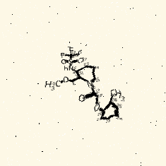 COCC1[C@@H](NS(=O)(=O)C(F)(F)F)CCCN1C(=O)COc1ccccc1C